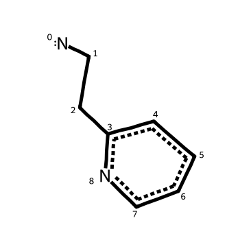 [N]CCc1ccccn1